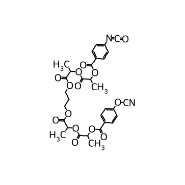 CC(OC(=O)c1ccc(N=C=O)cc1)C(=O)OC(C)C(=O)OCCCOC(=O)C(C)OC(=O)C(C)OC(=O)c1ccc(OC#N)cc1